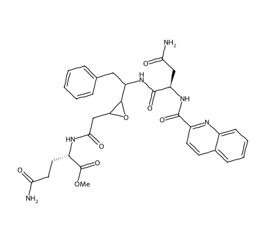 COC(=O)[C@H](CCC(N)=O)NC(=O)CC1OC1C(Cc1ccccc1)NC(=O)[C@@H](CC(N)=O)NC(=O)c1ccc2ccccc2n1